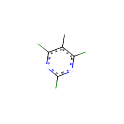 [CH2]Cc1c(Cl)nc(Cl)nc1Cl